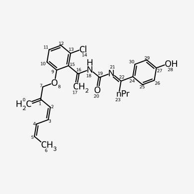 C=C(/C=C\C=C/C)COc1cccc(Cl)c1C(=C)NC(=O)/N=C(\CCC)c1ccc(O)cc1